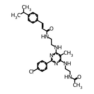 CC(=O)NCCNc1nc(-c2ccc(Cl)cc2)nc(NCCNC(=O)C=Cc2ccc(C(C)C)cc2)c1C